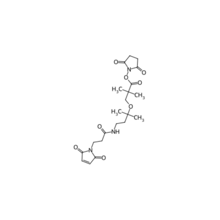 CC(C)(CCNC(=O)CCN1C(=O)C=CC1=O)OCC(C)(C)C(=O)ON1C(=O)CCC1=O